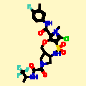 Cc1cc(NC(=O)c2c3c(c(Cl)n2C)S(=O)(=O)NC2CN(C(=O)C(=O)NC(C)C(F)(F)F)CC2CO3)ccc1F